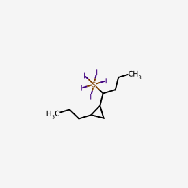 CCCC1CC1C(CCC)S(I)(I)(I)(I)I